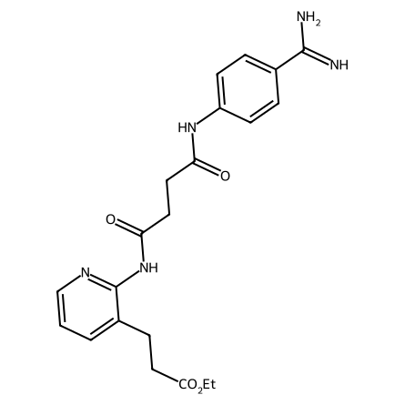 CCOC(=O)CCc1cccnc1NC(=O)CCC(=O)Nc1ccc(C(=N)N)cc1